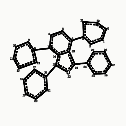 c1ccc(-c2ccc(-c3ccccc3)c3c(-c4ccccc4)oc(-c4ccccc4)c23)cc1